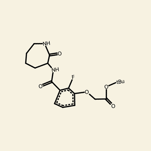 CC(C)(C)OC(=O)COc1cccc(C(=O)NC2CCCCNC2=O)c1F